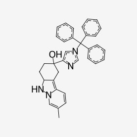 CC1=CN2NC3CCC(O)(c4cn(C(c5ccccc5)(c5ccccc5)c5ccccc5)cn4)CC3=C2C=C1